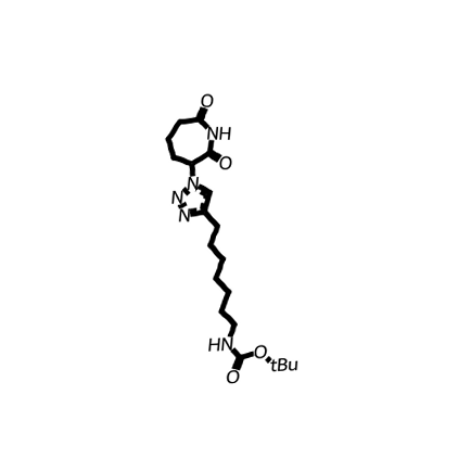 CC(C)(C)OC(=O)NCCCCCCCc1cn(C2CCCC(=O)NC2=O)nn1